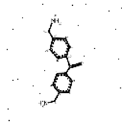 [CH]=C(c1ccc(CN)cc1)c1ccc(CN)cc1